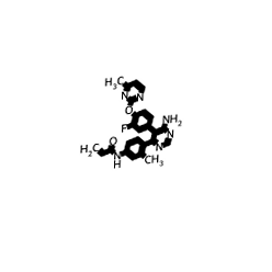 C=CC(=O)Nc1ccc(-c2ncnc(N)c2-c2ccc(Oc3nccc(C)n3)c(F)c2)c(C)c1